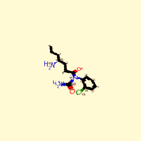 CCC[C@@H](N)CCC(=O)N(C(N)=O)c1ccccc1Cl